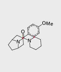 COc1ccc(C2CC3CCC(C2)N3C(=O)N2CCCCC2)cc1